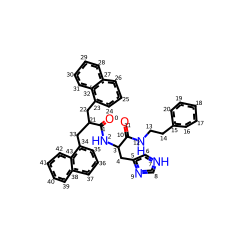 O=C(NC(Cc1c[nH]cn1)C(=O)NCCc1ccccc1)C(Cc1cccc2ccccc12)Cc1cccc2ccccc12